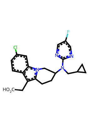 O=C(O)Cc1c2n(c3cc(Cl)ccc13)CC(N(CC1CC1)c1ncc(F)cn1)CC2